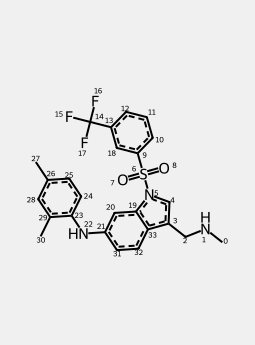 CNCc1cn(S(=O)(=O)c2cccc(C(F)(F)F)c2)c2cc(Nc3ccc(C)cc3C)ccc12